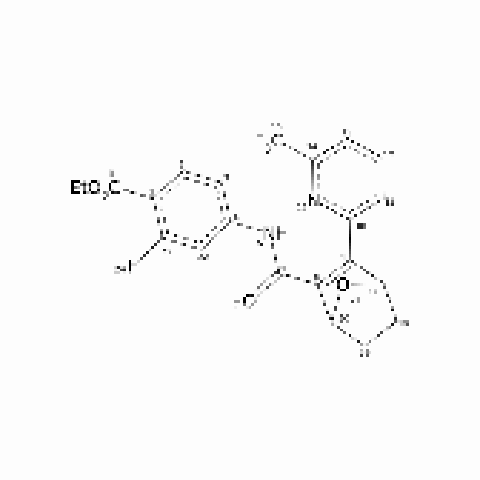 CCOC(=O)c1ccc(NC(=O)C2=C(c3cccc(C(F)(F)F)n3)C3CCC2O3)cc1F